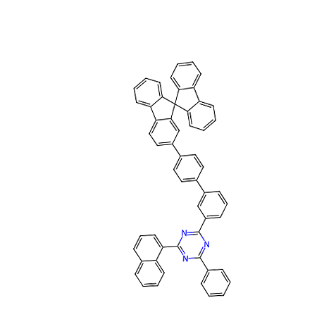 c1ccc(-c2nc(-c3cccc(-c4ccc(-c5ccc6c(c5)C5(c7ccccc7-c7ccccc75)c5ccccc5-6)cc4)c3)nc(-c3cccc4ccccc34)n2)cc1